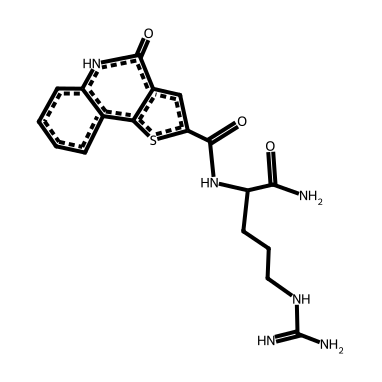 N=C(N)NCCCC(NC(=O)c1cc2c(=O)[nH]c3ccccc3c2s1)C(N)=O